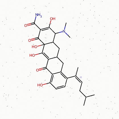 C/C(=C/CC(C)C)c1ccc(O)c2c1CC1CC3C(N(C)C)C(O)=C(C(N)=O)C(=O)C3(O)C(O)=C1C2=O